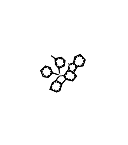 Cc1cccc([Si]2(c3ccccc3)c3ccccc3-c3ccc4c(sc5ccccc54)c32)c1